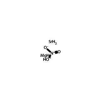 O=[N+]([O-])O.[MgH2].[SrH2]